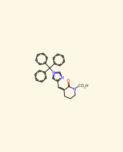 O=C(O)N1CCCC(=Cc2cn(C(c3ccccc3)(c3ccccc3)c3ccccc3)cn2)C1=O